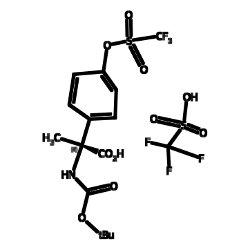 CC(C)(C)OC(=O)N[C@@](C)(C(=O)O)c1ccc(OS(=O)(=O)C(F)(F)F)cc1.O=S(=O)(O)C(F)(F)F